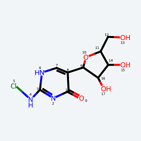 O=c1nc(NCl)[nH]cc1C1OC(CO)C(O)C1O